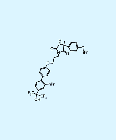 CCCc1cc(C(O)(C(F)(F)F)C(F)(F)F)ccc1-c1ccc(OCCCN2C(=O)NC(C)(c3ccc(OC(C)C)cc3)C2=O)cc1